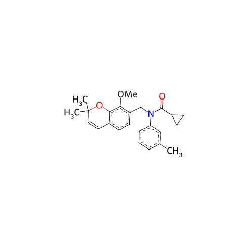 COc1c(CN(C(=O)C2CC2)c2cccc(C)c2)ccc2c1OC(C)(C)C=C2